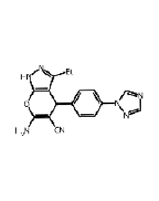 CCc1n[nH]c2c1C(c1ccc(-n3cncn3)cc1)C(C#N)=C(N)O2